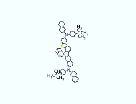 CC(C)(C)c1ccc(N(c2ccc3ccccc3c2)c2ccc3cc4c(cc3c2)C2(c3c-4ccc4c3sc3ccc(N(c5ccc(C(C)(C)C)cc5)c5ccc6ccccc6c5)cc34)C3CC4CC(C3)CC2C4)cc1